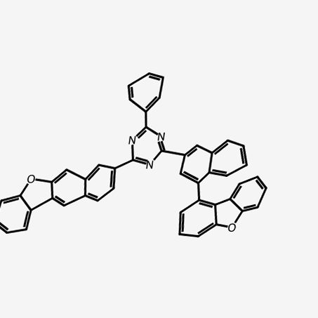 c1ccc(-c2nc(-c3ccc4cc5c(cc4c3)oc3ccccc35)nc(-c3cc(-c4cccc5oc6ccccc6c45)c4ccccc4c3)n2)cc1